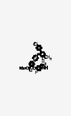 COC(=O)c1ccc(N2CCN(CC3=C(c4ccc(Cl)cc4)CCC(C)(C)C3)CC2)cc1Oc1cc2cc[nH]c2cc1F